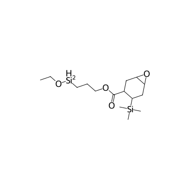 CCO[SiH2]CCCOC(=O)C1CC2OC2CC1[Si](C)(C)C